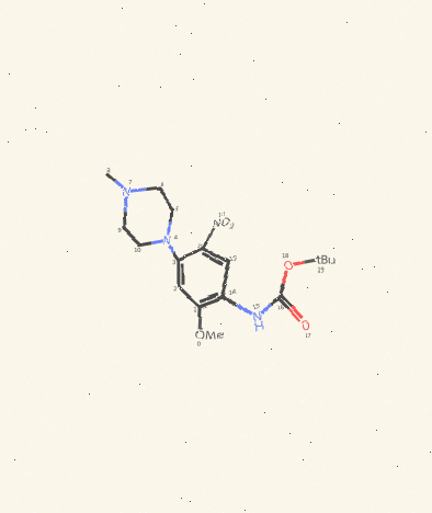 COc1cc(N2CCN(C)CC2)c([N+](=O)[O-])cc1NC(=O)OC(C)(C)C